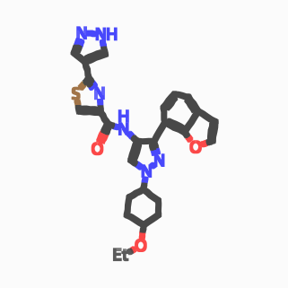 CCOC1CCC(n2cc(NC(=O)c3csc(-c4cn[nH]c4)n3)c(-c3cccc4ccoc34)n2)CC1